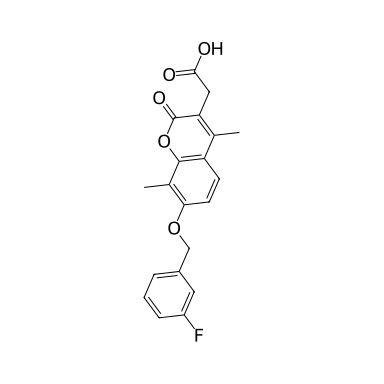 Cc1c(CC(=O)O)c(=O)oc2c(C)c(OCc3cccc(F)c3)ccc12